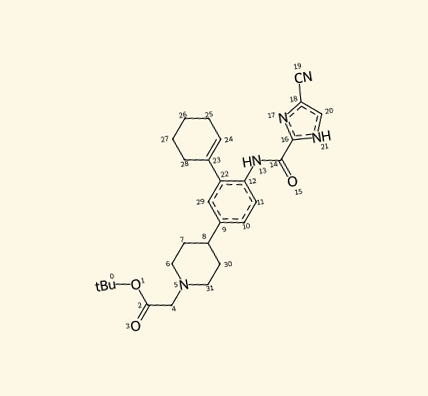 CC(C)(C)OC(=O)CN1CCC(c2ccc(NC(=O)c3nc(C#N)c[nH]3)c(C3=CCCCC3)c2)CC1